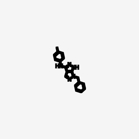 Cc1ccc(Nc2n[nH]c3c2cnn3Cc2ccccc2)cc1